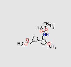 COC(=O)Cc1cccc(-c2ccc(OC)cc2CNC(=O)OC(C)(C)C)c1